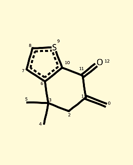 C=C1CC(C)(C)c2ccsc2C1=O